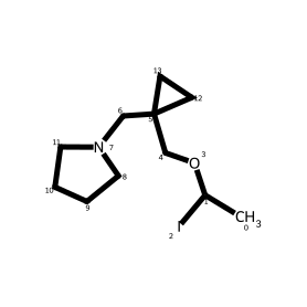 CC(I)OCC1(CN2CCCC2)CC1